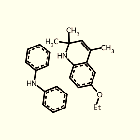 CCOc1ccc2c(c1)C(C)=CC(C)(C)N2.c1ccc(Nc2ccccc2)cc1